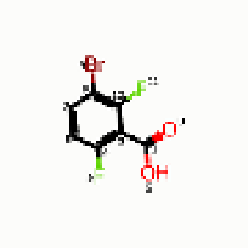 O=C(O)c1c(F)ccc(Br)c1F